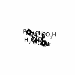 C[C@@H]1CN(Cc2ccc(F)cc2)[C@@H](C)CN1C(=O)COc1ccc(Br)cc1C(=O)CCC(=O)O